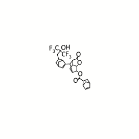 O=C(OC1C2CC3C1OC(=O)C3C2C1=CC2CC(CC(O)(C(F)(F)F)C(F)(F)F)C1C2)C1CC2C=CC1C2